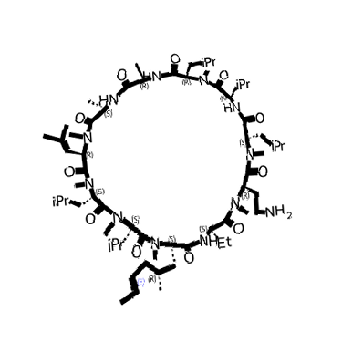 C/C=C/C[C@@H](C)C[C@H]1C(=O)N[C@@H](CC)C(=O)N(C)[C@H](CCN)C(=O)N(C)[C@@H](CC(C)C)C(=O)N[C@H](C(C)C)C(=O)N(C)[C@H](CC(C)C)C(=O)N[C@H](C)C(=O)N[C@@H](C)C(=O)N(C)[C@H](C=C(C)C)C(=O)N(C)[C@@H](CC(C)C)C(=O)N(C)[C@@H](C(C)C)C(=O)N1C